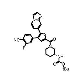 CC(C)(C)OC(=O)N[C@@H]1CCCN(C(=O)c2cc(-c3ccc(C#N)c(F)c3)c(-c3ccn4ccnc4c3)s2)C1